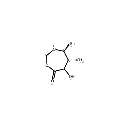 CCC(C)[C@@H]1OCOC(=O)C(O)[C@H]1C